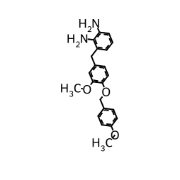 COc1ccc(COc2ccc(Cc3cccc(N)c3N)cc2OC)cc1